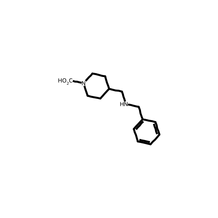 O=C(O)N1CCC(CNCc2ccccc2)CC1